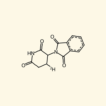 [2H]C1CC(=O)NC(=O)C1N1C(=O)c2ccccc2C1=O